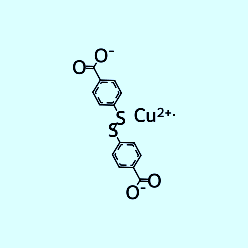 O=C([O-])c1ccc(SSc2ccc(C(=O)[O-])cc2)cc1.[Cu+2]